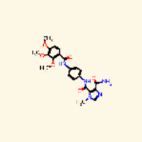 COc1ccc(C(=O)Nc2ccc(NC(=O)c3c(C(N)=O)ncn3C)cc2)c(OC)c1OC